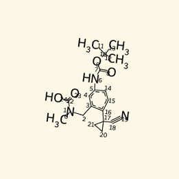 CN(Cc1cc(NC(=O)OC(C)(C)C)ccc1C1(C#N)CC1)C(=O)O